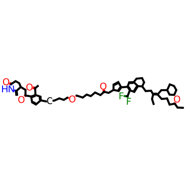 C=C1NC(=O)CCC1CC(=O)c1ccc(CCCCCCOCCCCCCC(=O)CC2C=CC(c3cc4c(cc3C(F)F)C(CC/C(CC)=C(/CCCC(=O)CC)CC3CCCCC3)CCC4)=C2)cc1C(C)=O